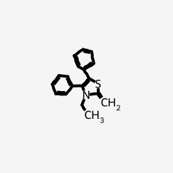 C=C1SC(c2ccccc2)=C(c2ccccc2)N1CC